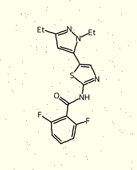 CCc1cc(-c2cnc(NC(=O)c3c(F)cccc3F)s2)n(CC)n1